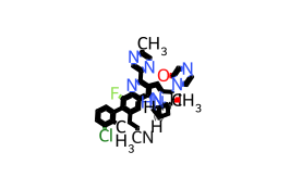 Cc1cnc(-c2nc3c(F)c(-c4cccc(Cl)c4C)c(CCC#N)cc3c3c2cc(C(C)n2ccncc2=O)n3[C@H]2[C@H]3CN[C@@H]2C3)cn1